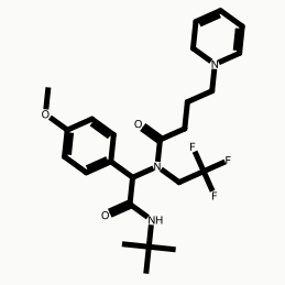 COc1ccc(C(C(=O)NC(C)(C)C)N(CC(F)(F)F)C(=O)CCCN2C=CC=CC2)cc1